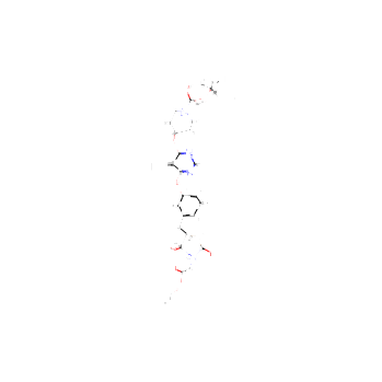 CCOC(=O)CN1C(=O)S/C(=C\c2cccc(Oc3ncnc(OC4CCN(C(=O)OC(C)(C)C)CC4)c3C)c2)C1=O